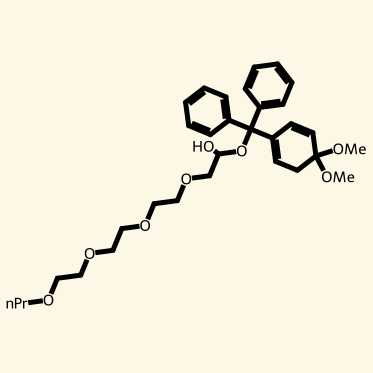 CCCOCCOCCOCCOCC(O)OC(C1=CCC(OC)(OC)C=C1)(c1ccccc1)c1ccccc1